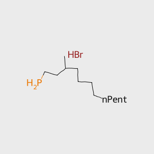 Br.CCCCCCCCCC(C)CCP